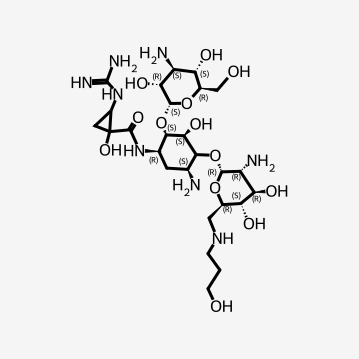 N=C(N)NC1CC1(O)C(=O)N[C@@H]1C[C@H](N)C(O[C@H]2O[C@H](CNCCCO)[C@@H](O)[C@H](O)[C@H]2N)[C@H](O)[C@H]1O[C@H]1O[C@H](CO)[C@@H](O)[C@H](N)[C@H]1O